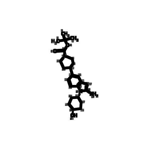 CC(C)(C)OC(=O)N1CCC(c2ccc3c(c2)nc(N)n3[C@H]2CC[C@@H](O)CC2)CC1